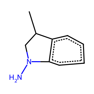 CC1CN(N)c2ccccc21